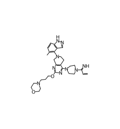 C=CC(=N)N1CCN(c2nc(OCCCN3CCOCC3)nc3c2CCN(c2c(C)ccc4[nH]ncc24)C3)CC1